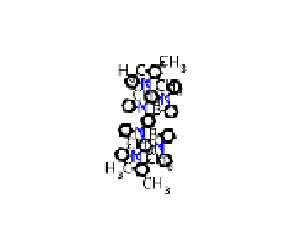 Cc1cc(C)c(N(c2cc3c4c(c2)N(c2ccccc2)c2cc5c(cc2B4c2ccccc2N3c2ccccc2)B2c3ccccc3N(c3ccccc3)c3cc(N(c4ccccc4C)c4c(C)cc(C)cc4C)cc(c32)N5c2ccccc2)c2ccccc2C)c(C)c1